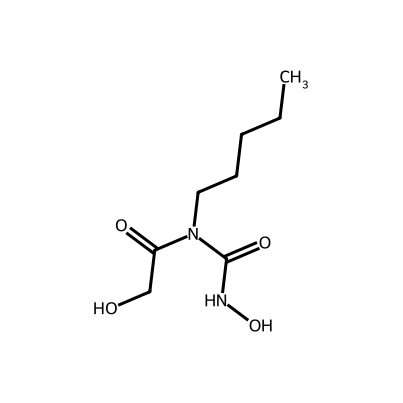 CCCCCN(C(=O)CO)C(=O)NO